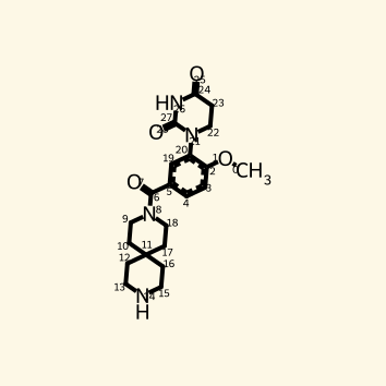 COc1ccc(C(=O)N2CCC3(CCNCC3)CC2)cc1N1CCC(=O)NC1=O